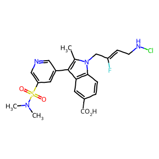 Cc1c(-c2cncc(S(=O)(=O)N(C)C)c2)c2cc(C(=O)O)ccc2n1C/C(F)=C/CNCl